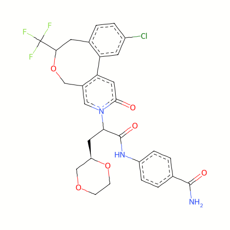 NC(=O)c1ccc(NC(=O)C(C[C@@H]2COCCO2)n2cc3c(cc2=O)-c2cc(Cl)ccc2CC(C(F)(F)F)OC3)cc1